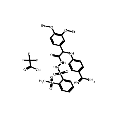 CCOc1cc(C(Nc2ccc(C(=N)N)cc2)C(=O)NNS(=O)(=O)c2ccccc2S(C)(=O)=O)ccc1OC(C)C.O=C(O)C(F)(F)F